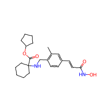 Cc1cc(C=CC(=O)NO)ccc1CNC1(C(=O)OC2CCCC2)CCCCC1